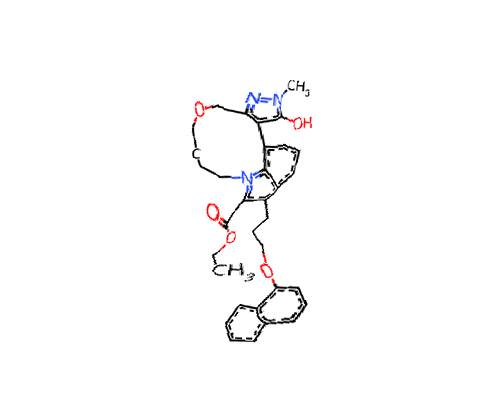 CCOC(=O)c1c(CCCOc2cccc3ccccc23)c2cccc3c2n1CCCCOCc1nn(C)c(O)c1-3